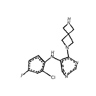 Fc1ccc(Nc2cncnc2N2CC3(CNC3)C2)c(Cl)c1